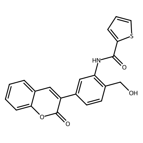 O=C(Nc1cc(-c2cc3ccccc3oc2=O)ccc1CO)c1cccs1